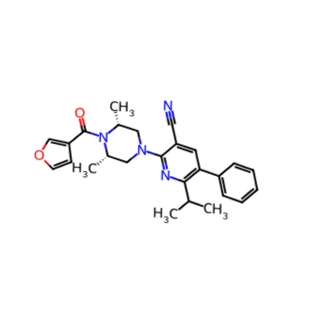 CC(C)c1nc(N2C[C@@H](C)N(C(=O)c3ccoc3)[C@@H](C)C2)c(C#N)cc1-c1ccccc1